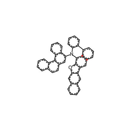 c1ccc(-c2ccccc2N(c2cc3ccc4ccccc4c3c3ccccc23)c2cccc3c2oc2cc4ccccc4cc23)cc1